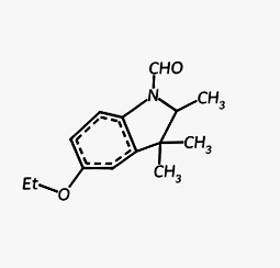 CCOc1ccc2c(c1)C(C)(C)C(C)N2C=O